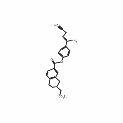 C#CCN=C(N)c1ccc(NC(=O)c2ccc3c(c2)CC(CC(=O)OCC)CC3)cc1